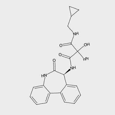 CCCC(O)(C(=O)NCC1CC1)C(=O)N[C@@H]1C(=O)Nc2ccccc2-c2ccccc21